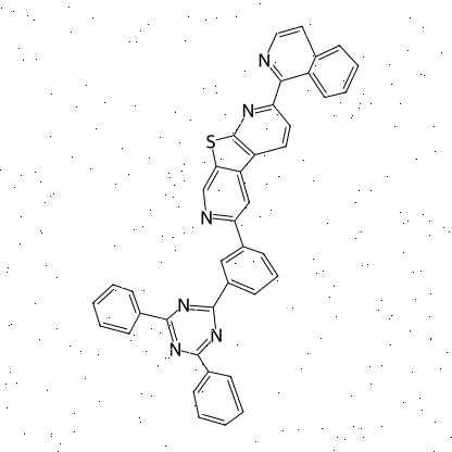 c1ccc(-c2nc(-c3ccccc3)nc(-c3cccc(-c4cc5c(cn4)sc4nc(-c6nccc7ccccc67)ccc45)c3)n2)cc1